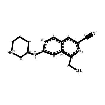 CCc1nc(C#N)cc2cnc(NC3CCCNC3)cc12